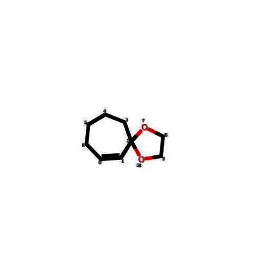 C1=CC2(CCCC1)OCCO2